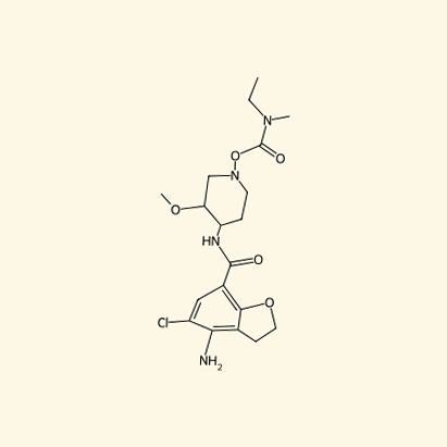 CCN(C)C(=O)ON1CCC(NC(=O)c2cc(Cl)c(N)c3c2OCC3)C(OC)C1